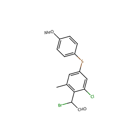 COc1ccc(Sc2cc(C)c(C(Br)C=O)c(Cl)c2)cc1